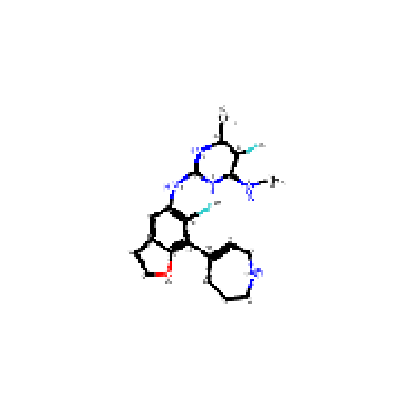 CNC1NC(Nc2cc3c(c(C4=CCNCCC4)c2F)OCC3)NC(C)C1F